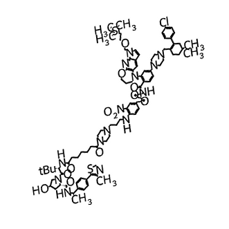 Cc1ncsc1-c1ccc([C@H](C)NC(=O)[C@@H]2C[C@@H](O)CN2C(=O)[C@@H](NC(=O)CCCCCC(=O)N2CCN(CCCNc3ccc(S(=O)(=O)NC(=O)c4ccc(N5CCN(CC6=C(c7ccc(Cl)cc7)CC(C)(C)CC6)CC5)cc4N4CCCOc5nc6c(ccn6COCC[Si](C)(C)C)cc54)cc3[N+](=O)[O-])CC2)C(C)(C)C)cc1